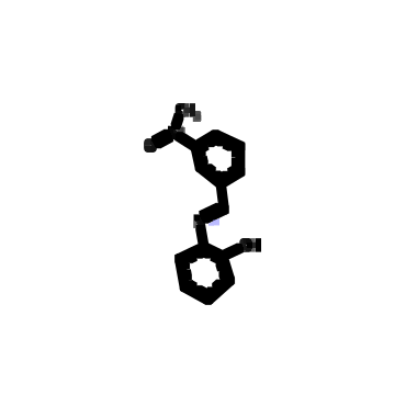 C[N+](=O)c1cccc(/C=N/c2ccccc2O)c1